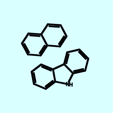 c1ccc2c(c1)[nH]c1ccccc12.c1ccc2ccccc2c1